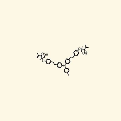 C=C(C)C(=O)C(C)(CO)Oc1ccc(CCc2ccc(N(c3ccc(C)cc3)c3ccc(CCc4ccc(OC(C)(CO)C(=O)C(=C)C)cc4)cc3)cc2)cc1